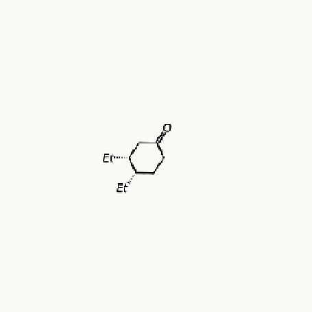 CC[C@@H]1CC(=O)CC[C@@H]1CC